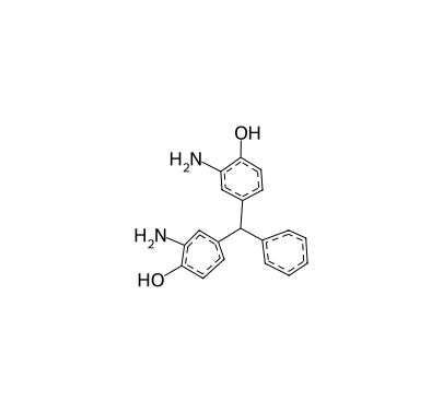 Nc1cc(C(c2ccccc2)c2ccc(O)c(N)c2)ccc1O